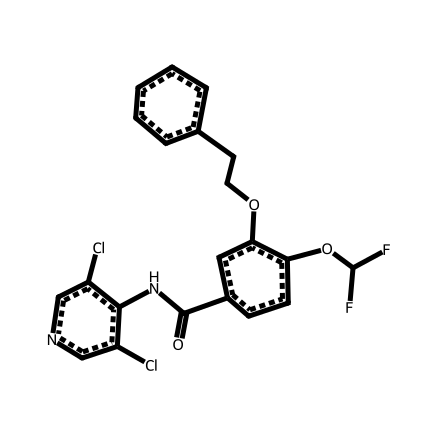 O=C(Nc1c(Cl)cncc1Cl)c1ccc(OC(F)F)c(OCCc2ccccc2)c1